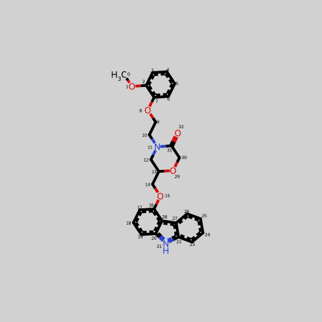 COc1ccccc1OCCN1CC(COc2cccc3[nH]c4ccccc4c23)OCC1=O